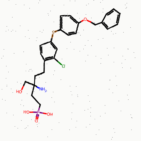 NC(CO)(CCc1ccc(Sc2ccc(OCc3ccccc3)cc2)cc1Cl)CCP(=O)(O)O